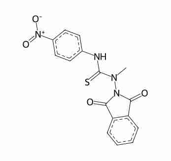 CN(C(=S)Nc1ccc([N+](=O)[O-])cc1)N1C(=O)c2ccccc2C1=O